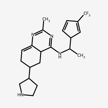 CC1=NC2=CCC(C3CCNC3)CC2C(NC(C)C2C=CC(C(F)(F)F)=C2)=N1